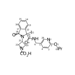 CC(C)Oc1ccc(CNC(=O)C2(I)c3ccccc3C(=O)N2C2CN(C(=O)O)C2)cn1